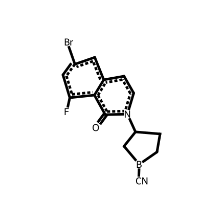 N#CB1CCC(n2ccc3cc(Br)cc(F)c3c2=O)C1